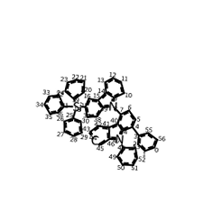 c1ccc(-c2ccc(-n3c4ccccc4c4cc([Si](c5ccccc5)(c5ccccc5)c5ccccc5)ccc43)c3c4ccccc4n(-c4ccccc4)c23)cc1